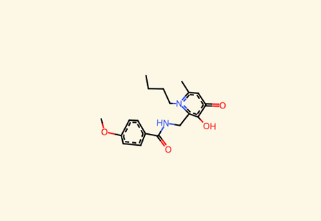 CCCCn1c(C)cc(=O)c(O)c1CNC(=O)c1ccc(OC)cc1